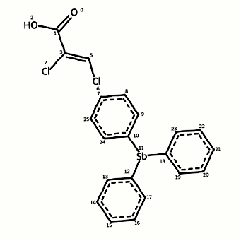 O=C(O)/C(Cl)=C/Cl.c1cc[c]([Sb]([c]2ccccc2)[c]2ccccc2)cc1